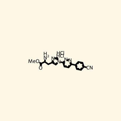 COC(=O)C(N)Cc1cn(-c2ccc(-c3ccc(C#N)cc3)nn2)cn1.Cl.Cl